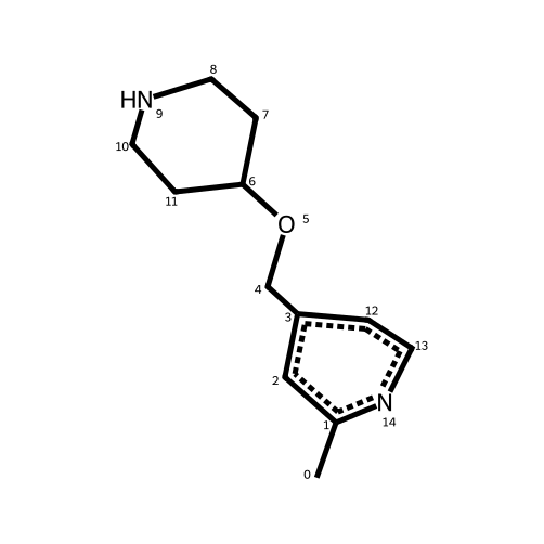 Cc1cc(COC2CCNCC2)ccn1